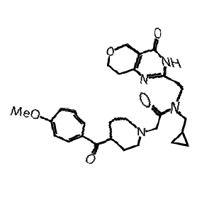 COC1=CC=C(C(=O)C2CCN(CC(=O)N(Cc3nc4c(c(=O)[nH]3)COCC4)CC3CC3)CC2)C=CC1